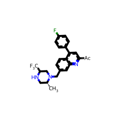 CC(=O)c1cc(-c2ccc(F)cc2)c2ccc(CN3CC(C(F)(F)F)NC[C@H]3C)cc2n1